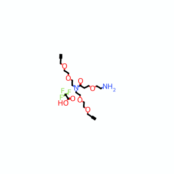 C#CCOCCOCCN(CCOCCOCC#C)C(=O)CCOCCN.O=C(O)C(F)(F)F